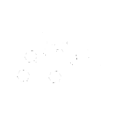 COC[C@H]1N(c2cccc(-c3cccc(C)c3OCc3cc(F)c4c(c3)CCN(C(=O)OC(C)(C)C)CC4)n2)CC[C@@]1(C)C(=O)O